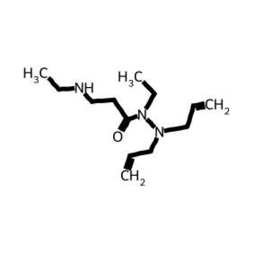 C=CCN(CC=C)N(CC)C(=O)CCNCC